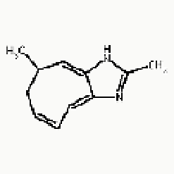 Cc1n\c2c([nH]1)=CC(C)C/C=C\C=2